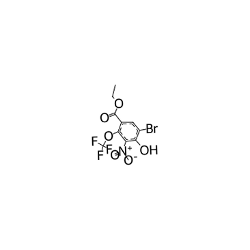 CCOC(=O)c1cc(Br)c(O)c([N+](=O)[O-])c1OC(F)(F)F